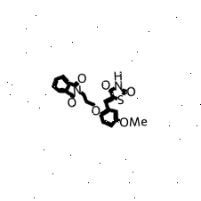 COc1ccc(OCCCN2C(=O)c3ccccc3C2=O)c(/C=C2\SC(=O)NC2=O)c1